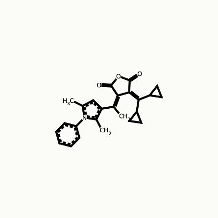 CC(=C1C(=O)OC(=O)C1=C(C1CC1)C1CC1)c1cc(C)n(-c2ccccc2)c1C